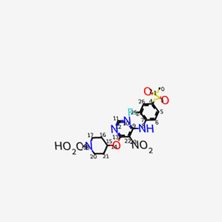 CS(=O)(=O)c1ccc(Nc2ncnc(OC3CCN(C(=O)O)CC3)c2[N+](=O)[O-])c(F)c1